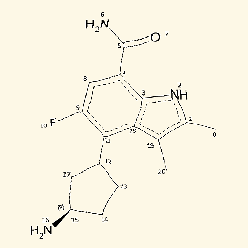 Cc1[nH]c2c(C(N)=O)cc(F)c(C3CC[C@@H](N)C3)c2c1C